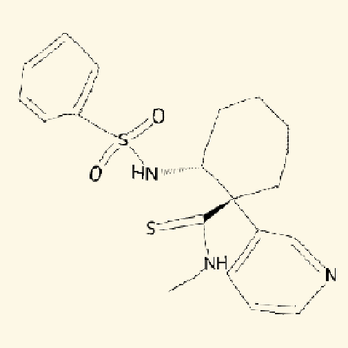 CNC(=S)[C@]1(c2cccnc2)CCCC[C@H]1NS(=O)(=O)c1ccccc1